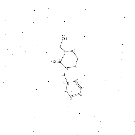 O=C1C(CO)OCCN1Cc1ccccc1